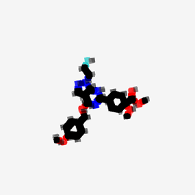 COC(=O)C1(OC)CC=C(c2nc(OCc3ccc(OC)cc3)c3cnn(CCF)c3n2)CC1